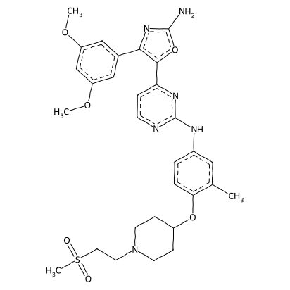 COc1cc(OC)cc(-c2nc(N)oc2-c2ccnc(Nc3ccc(OC4CCN(CCS(C)(=O)=O)CC4)c(C)c3)n2)c1